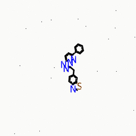 c1ccc(-c2ccc3nnc(Cc4ccc5ncsc5c4)n3n2)cc1